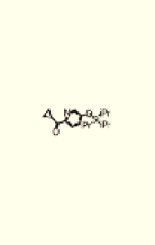 CC(C)[Si](Oc1ccc(C(=O)C2CC2)nc1)(C(C)C)C(C)C